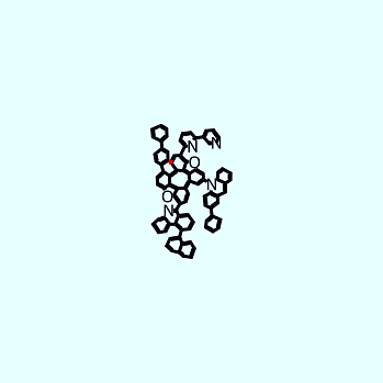 C1=CC2=Cc3cc(-c4ccccc4)ccc3N(c3cc4oc5c(-c6cccc(-c7cccnc7)n6)ccc6c7c(-c8ccc(-c9ccccc9)cc8)ccc8oc9c(-c%10nc%11ccccc%11c%11c(-c%12cccc%13ccccc%12%13)cccc%10%11)ccc(c(c3)c4c56)c9c87)C2C=C1